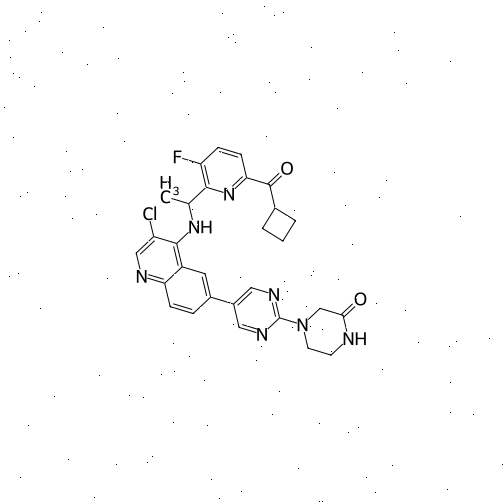 CC(Nc1c(Cl)cnc2ccc(-c3cnc(N4CCNC(=O)C4)nc3)cc12)c1nc(C(=O)C2CCC2)ccc1F